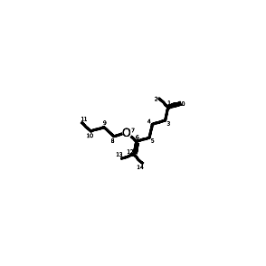 C=C(C)CCCC(OCCCC)=C(C)C